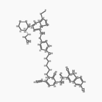 CCc1cnn2c(NCc3ccc(OCCCCCn4c(C#N)ccc(N[C@@H](C)c5cc6cc(Cl)ccc6[nH]c5=O)c4=O)nc3)cc(N3CCCC[C@H]3CCO)nc12